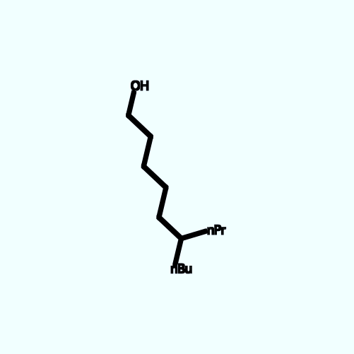 CCCCC(CCC)CCCCCO